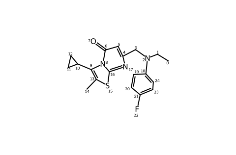 CCN(Cc1cc(=O)n2c(C3CC3)c(C)sc2n1)c1ccc(F)cc1